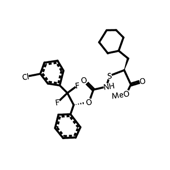 COC(=O)[C@H](CC1CCCCC1)SNC(=O)O[C@H](c1ccccc1)C(F)(F)c1cccc(Cl)c1